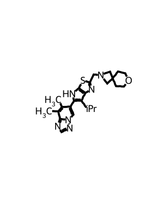 Cc1c(-c2[nH]c3sc(CN4CC5(CCOCC5)C4)nc3c2C(C)C)cn2ncnc2c1C